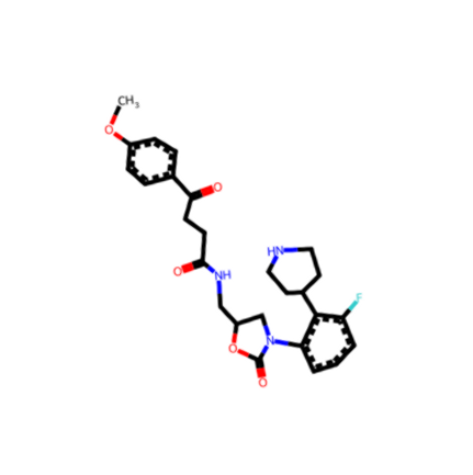 COc1ccc(C(=O)CCC(=O)NCC2CN(c3cccc(F)c3C3CCNCC3)C(=O)O2)cc1